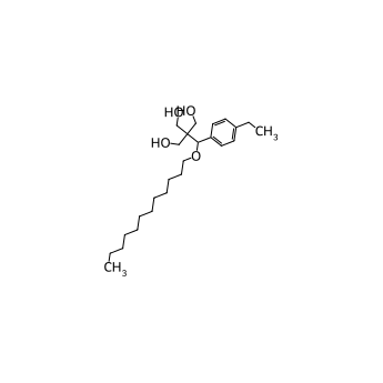 CCCCCCCCCCCCOC(c1ccc(CC)cc1)C(CO)(CO)CO